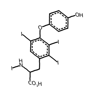 O=C(O)C(Cc1cc(I)c(Oc2ccc(O)cc2)c(I)c1I)NI